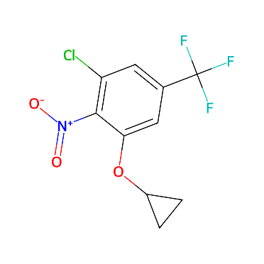 O=[N+]([O-])c1c(Cl)cc(C(F)(F)F)cc1OC1CC1